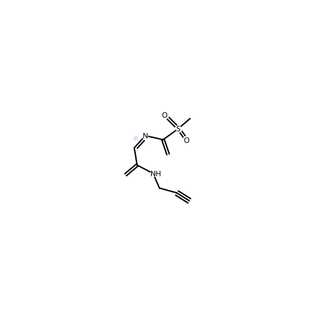 C#CCNC(=C)/C=N\C(=C)S(C)(=O)=O